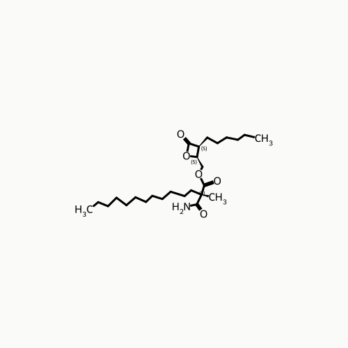 CCCCCCCCCCCC[C@@](C)(C(N)=O)C(=O)OC[C@H]1OC(=O)[C@H]1CCCCCC